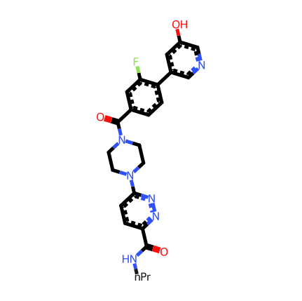 CCCNC(=O)c1ccc(N2CCN(C(=O)c3ccc(-c4cncc(O)c4)c(F)c3)CC2)nn1